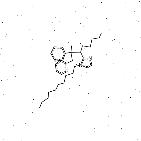 CCCCCCCCCCn1ccnc1C(CCCCC)C(C)(Cc1ccccc1)c1ccccc1